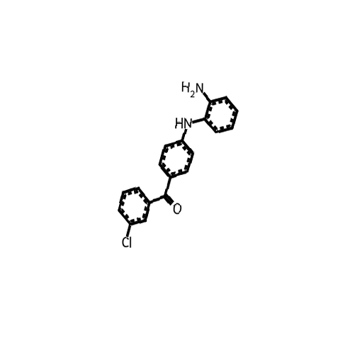 Nc1ccccc1Nc1ccc(C(=O)c2cccc(Cl)c2)cc1